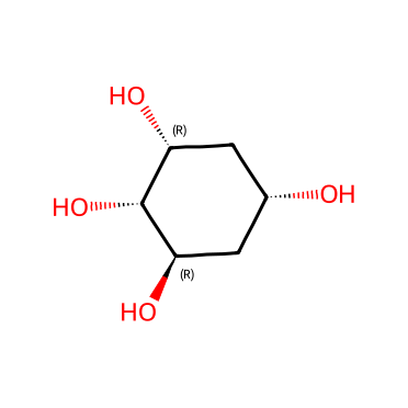 O[C@@H]1C[C@H](O)C[C@@H](O)[C@@H]1O